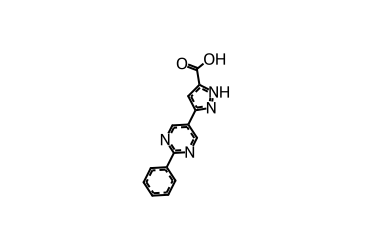 O=C(O)c1cc(-c2cnc(-c3ccccc3)nc2)n[nH]1